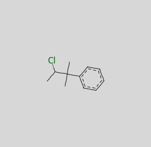 CC(Cl)C(C)(C)c1ccccc1